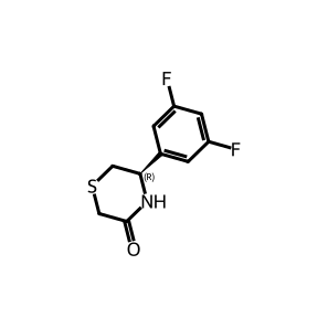 O=C1CSC[C@@H](c2cc(F)cc(F)c2)N1